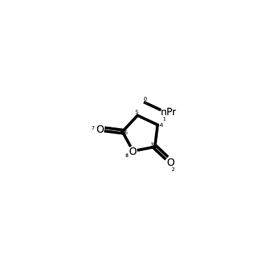 CCCC.O=C1CCC(=O)O1